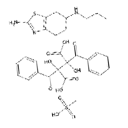 CCCNC1CCc2nc(N)sc2C1.CS(=O)(=O)O.O=C(O)C(O)(C(=O)c1ccccc1)C(O)(C(=O)O)C(=O)c1ccccc1